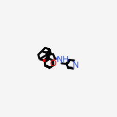 CC1C2CC3CC1CC(C2)C3(CC(=O)NCc1ccncc1)c1ccccc1